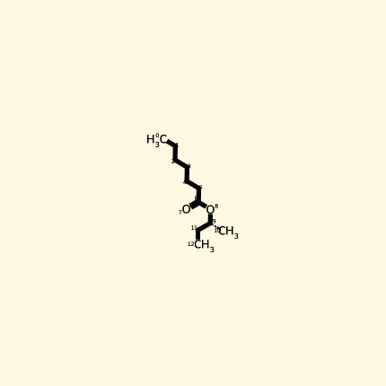 CCCCCCC(=O)O[C@H](C)CC